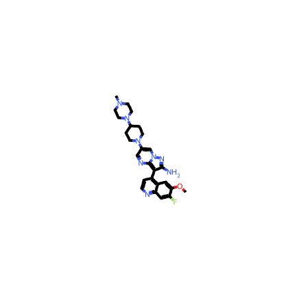 COc1cc2c(-c3c(N)nn4cc(N5CCC(N6CCN(C)CC6)CC5)cnc34)ccnc2cc1F